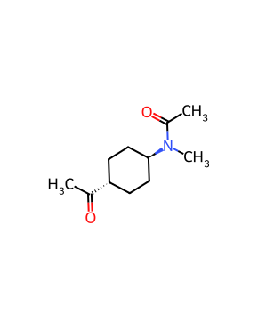 CC(=O)N(C)[C@H]1CC[C@H](C(C)=O)CC1